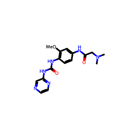 COc1cc(NC(=O)CN(C)C)ccc1NC(=O)Nc1cnccn1